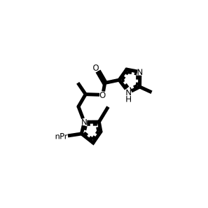 CCCc1ccc(C)n1CC(C)OC(=O)c1cnc(C)[nH]1